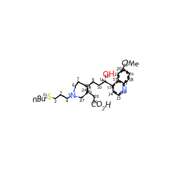 CCCCSCCCN1CC[C@@H](CC[C@H](O)c2ccnc3ccc(OC)cc23)[C@@H](CC(=O)O)C1